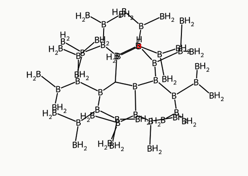 BBB(B(B)B)B(B(B(B)B)B(B)B)B(B(B(B)B)B(B)B)C(B(B(B(B)B)B(B)B)B(B(B)B)B(B)B)B(B(B(B)B)B(B)B)B(B(B)B)B(B)B